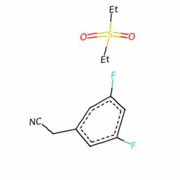 CCS(=O)(=O)CC.N#CCc1cc(F)cc(F)c1